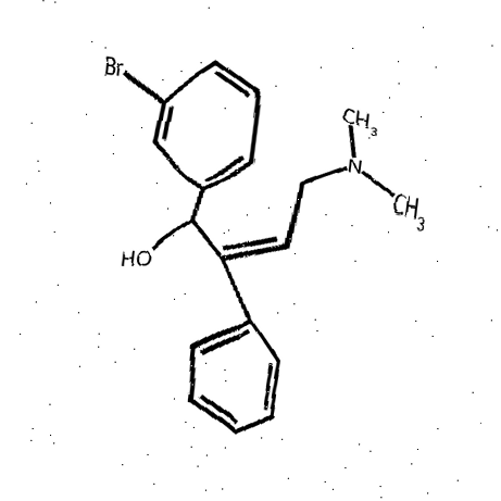 CN(C)CC=C(c1ccccc1)C(O)c1cccc(Br)c1